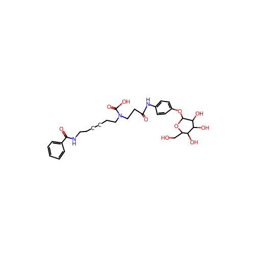 O=C(CCN(CCCCCCNC(=O)c1ccccc1)C(=O)O)Nc1ccc(OC2OC(CO)C(O)C(O)C2O)cc1